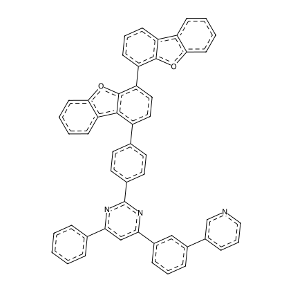 c1ccc(-c2cc(-c3cccc(-c4cccnc4)c3)nc(-c3ccc(-c4ccc(-c5cccc6c5oc5ccccc56)c5oc6ccccc6c45)cc3)n2)cc1